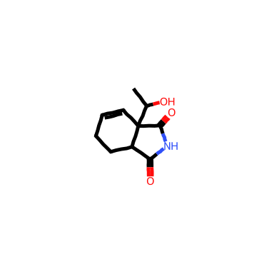 CC(O)C12C=CCCC1C(=O)NC2=O